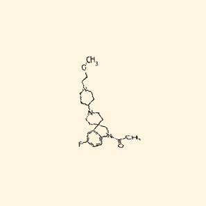 COCCN1CCC(N2CCC3(CC2)CN(C(C)=O)c2ccc(F)cc23)CC1